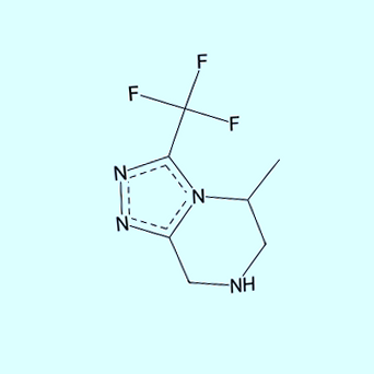 CC1CNCc2nnc(C(F)(F)F)n21